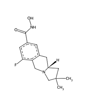 CC1(C)C[C@H]2Cc3cc(C(=O)NO)cc(F)c3CN2C1